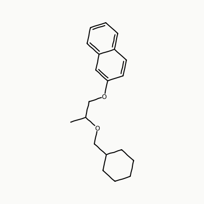 CC(COc1ccc2ccccc2c1)OCC1CCCCC1